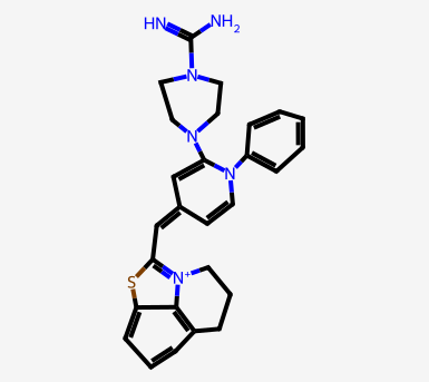 N=C(N)N1CCN(C2=CC(=Cc3sc4cccc5c4[n+]3CCC5)C=CN2c2ccccc2)CC1